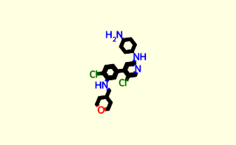 N[C@H]1CC[C@H](Nc2cc(-c3ccc(Cl)c(NCC4CCOCC4)c3)c(Cl)cn2)CC1